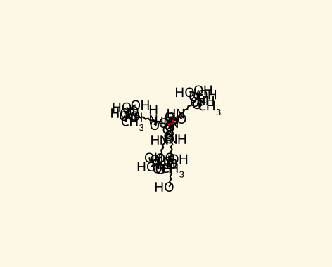 CC(=O)NC1C(OCCCCCCNC(=O)CCOCC(COCCC(=O)NCCCCCCOC2OC(CO)C(O)C(O)C2NC(C)=O)(COCCC(=O)NCCCCCCOC2OC(CO)C(O)C(O)C2NC(C)=O)NC(=O)C2CCCN2C(=O)CCCC(=O)NCCCCCCOP(=O)(O)OCCCCCCCCO)OC(CO)C(O)C1O